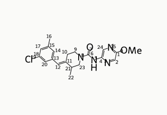 COc1cnc(NC(=O)N2CC/C(=C\c3cc(C)cc(Cl)c3)C(C)C2)cn1